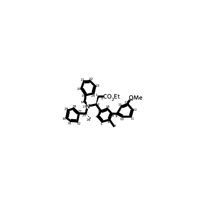 CCOC(=O)C[C@@H](c1ccc(C)c(-c2cccc(OC)c2)c1)N(Cc1ccccc1)[C@H](C)c1ccccc1